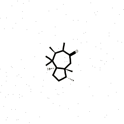 CC1C(=O)C[C@]2(C)[C@H](C)CC[C@H]2C(C)(C)[C@H]1C